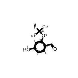 O=Cc1ccc(O)cc1OC(F)(F)F